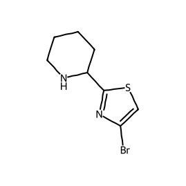 Brc1csc(C2CCCCN2)n1